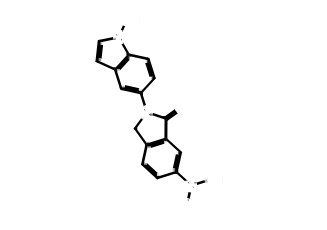 CN(C)c1ccc2c(c1)C(=O)N(c1ccc3c(ccn3C)c1)C2